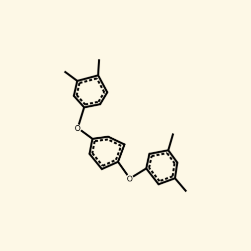 Cc1cc(C)cc(Oc2ccc(Oc3ccc(C)c(C)c3)cc2)c1